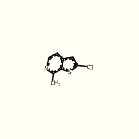 Cc1nccc2cc(Cl)sc12